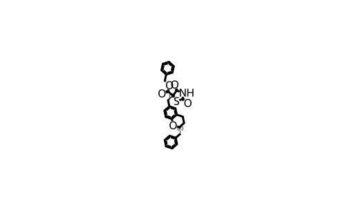 O=C1NC(=O)[C@@](Cc2ccc3c(c2)CC[C@H](Cc2ccccc2)O3)(C(=O)OCc2ccccc2)S1